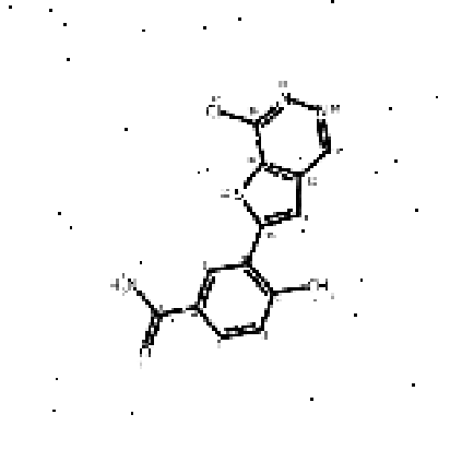 Cc1ccc(C(N)=O)cc1-c1cc2cnnc(Cl)c2s1